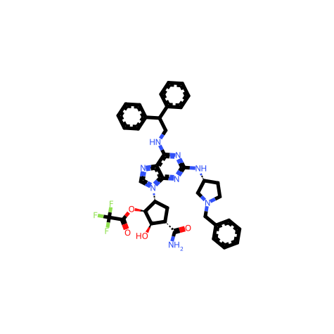 NC(=O)[C@H]1C[C@@H](n2cnc3c(NCC(c4ccccc4)c4ccccc4)nc(N[C@@H]4CCN(Cc5ccccc5)C4)nc32)[C@H](OC(=O)C(F)(F)F)[C@@H]1O